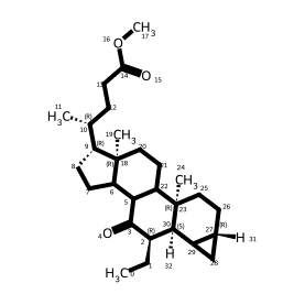 CC[C@H]1C(=O)C2C3CC[C@H]([C@H](C)CCC(=O)OC)[C@@]3(C)CCC2[C@@]2(C)CC[C@@H]3CC3[C@@H]12